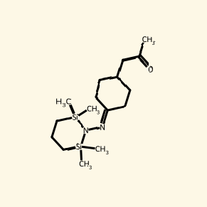 CC(=O)CC1CCC(=NN2[Si](C)(C)CCC[Si]2(C)C)CC1